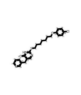 O=c1[nH]c(SCCCCCCCOc2ccc(Cl)cc2)ncc1Cc1cccnc1